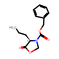 O=C(O)CC[C@@H]1C(=O)OCN1C(=O)OCc1ccccc1